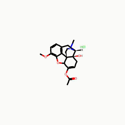 COc1ccc2c3c1OC1C(OC(C)=O)=CC[C@@]4(O)[C@@H](C2)N(C)CC[C@]314.Cl